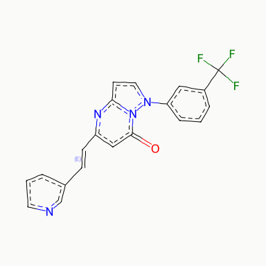 O=c1cc(/C=C/c2cccnc2)nc2ccn(-c3cccc(C(F)(F)F)c3)n12